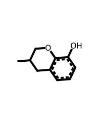 CC1COc2c(O)cccc2C1